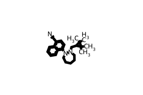 CC1(C)C(CN2CCCCCN2c2ccc(C#N)c3ccccc23)C1(C)C